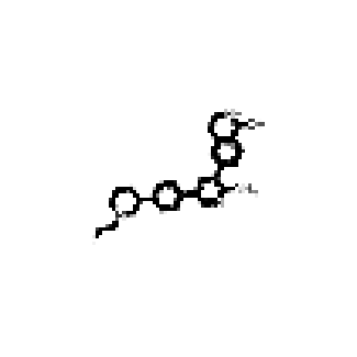 Nc1ncc(-c2ccc(C3CCCN(CCF)C3)cc2)cc1-c1ccc2c(c1)CCNC2O